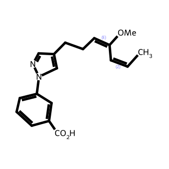 C/C=C\C(=C/CCc1cnn(-c2cccc(C(=O)O)c2)c1)OC